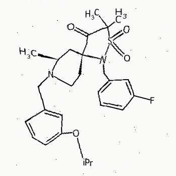 CC(C)Oc1cccc(CN2CC[C@@]3(C[C@@H]2C)C(=O)C(C)(C)S(=O)(=O)N3c2cccc(F)c2)c1